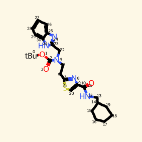 CC(C)(C)OC(=O)N(CCc1nc(C(=O)NCC2CCCCC2)cs1)Cc1nc2ccccc2[nH]1